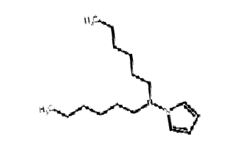 CCCCCCN(CCCCCC)n1cccc1